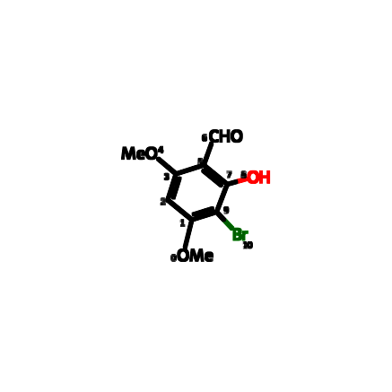 COc1cc(OC)c(C=O)c(O)c1Br